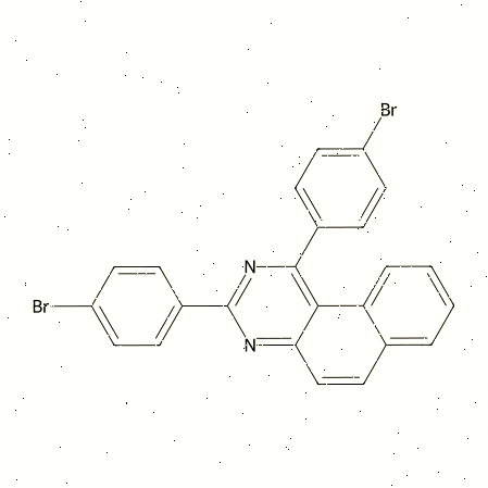 Brc1ccc(-c2nc(-c3ccc(Br)cc3)c3c(ccc4ccccc43)n2)cc1